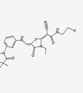 CCn1c(=C(C#N)C(=O)NCCF)sc(=CNc2cccc(N(C)C(=O)C(C)(C)C)c2)c1=O